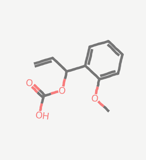 C=CC(OC(=O)O)c1ccccc1OC